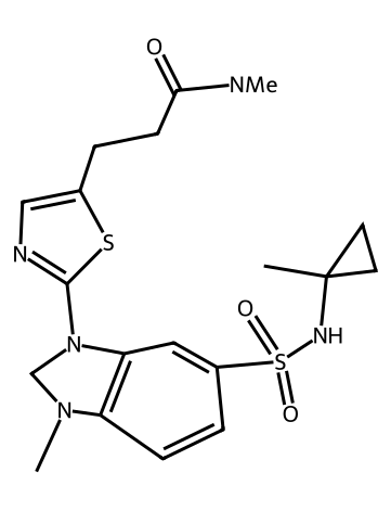 CNC(=O)CCc1cnc(N2CN(C)c3ccc(S(=O)(=O)NC4(C)CC4)cc32)s1